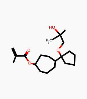 C=C(C)C(=O)OC1CCCC(C2(OCC(C)(O)C(F)(F)F)CCCC2)CC1